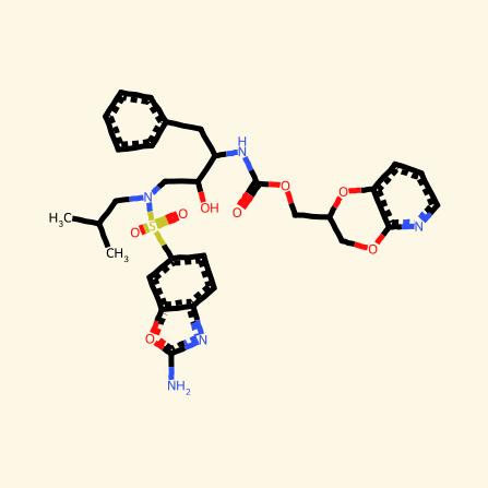 CC(C)CN(CC(O)C(Cc1ccccc1)NC(=O)OCC1COc2ncccc2O1)S(=O)(=O)c1ccc2nc(N)oc2c1